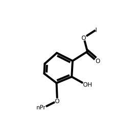 CCCOc1cccc(C(=O)OI)c1O